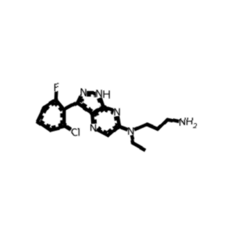 CCN(CCCN)c1cnc2c(-c3c(F)cccc3Cl)n[nH]c2n1